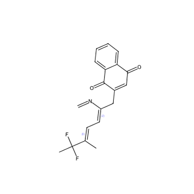 C=N/C(=C\C=C(/C)C(C)(F)F)CC1=CC(=O)c2ccccc2C1=O